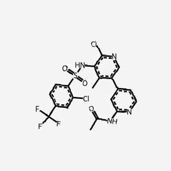 CC(=O)Nc1cc(-c2cnc(Cl)c(NS(=O)(=O)c3ccc(C(F)(F)F)cc3Cl)c2C)ccn1